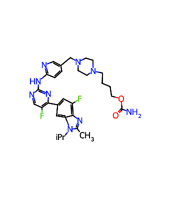 Cc1nc2c(F)cc(-c3nc(Nc4ccc(CN5CCN(CCCCOC(N)=O)CC5)cn4)ncc3F)cc2n1C(C)C